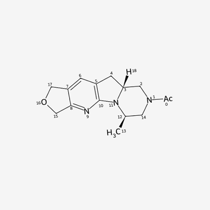 CC(=O)N1C[C@H]2Cc3cc4c(nc3N2[C@H](C)C1)COC4